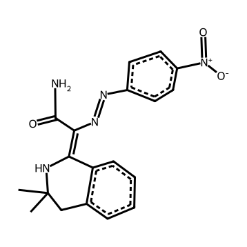 CC1(C)Cc2ccccc2/C(=C(\N=N\c2ccc([N+](=O)[O-])cc2)C(N)=O)N1